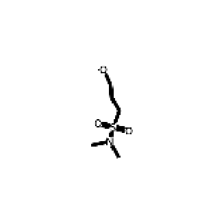 CN(C)S(=O)(=O)CCC[O]